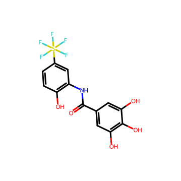 O=C(Nc1cc(S(F)(F)(F)(F)F)ccc1O)c1cc(O)c(O)c(O)c1